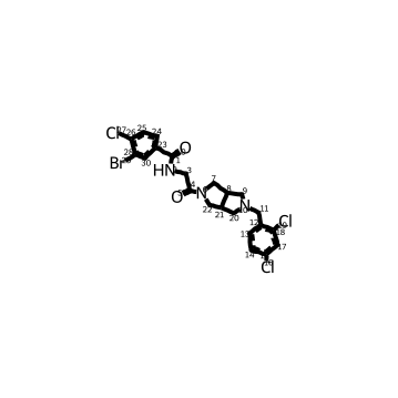 O=C(NCC(=O)N1CC2CN(Cc3ccc(Cl)cc3Cl)CC2C1)c1ccc(Cl)c(Br)c1